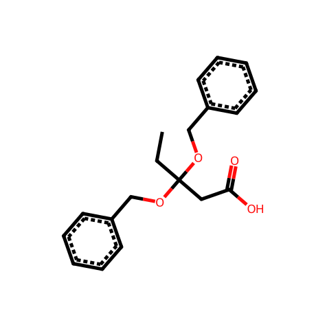 CCC(CC(=O)O)(OCc1ccccc1)OCc1ccccc1